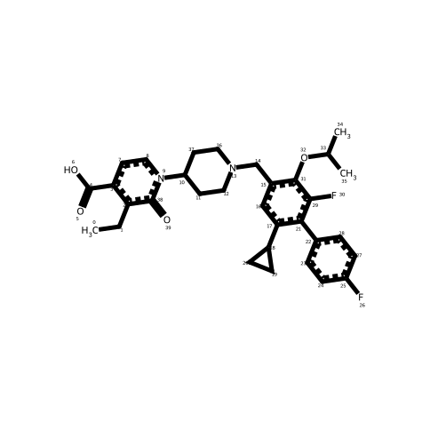 CCc1c(C(=O)O)ccn(C2CCN(Cc3cc(C4CC4)c(-c4ccc(F)cc4)c(F)c3OC(C)C)CC2)c1=O